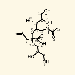 C=CC[C@@](OCC(O)CO)(OC(CNC(C)=O)[C@H](O)C(O)CO)C(=O)O